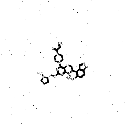 C=CC(=O)N1CCN(c2nc(OC[C@@H]3CCCN3C)nc3c2OCC(c2c(C)ccc4[nH]ncc24)N3C)CC1